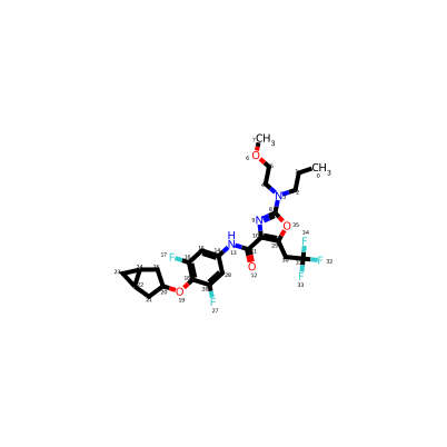 CCCN(CCOC)c1nc(C(=O)Nc2cc(F)c(OC3CC4CC4C3)c(F)c2)c(CC(F)(F)F)o1